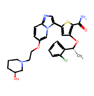 C[C@@H](Oc1cc(-c2cnc3ccc(OCCN4CCC[C@H](O)C4)cn23)sc1C(N)=O)c1ccccc1Cl